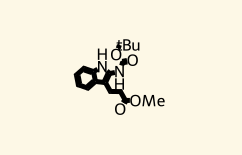 COC(=O)CCc1c(NC(=O)OC(C)(C)C)[nH]c2ccccc12